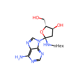 CCCCCCN[C@]1(n2cnc3c(N)ncnc32)C[C@H](O)[C@@H](CO)O1